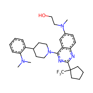 CN(C)c1ccccc1C1CCN(c2nc(C3(C(F)(F)F)CCCC3)nc3ccc(N(C)CCO)cc23)CC1